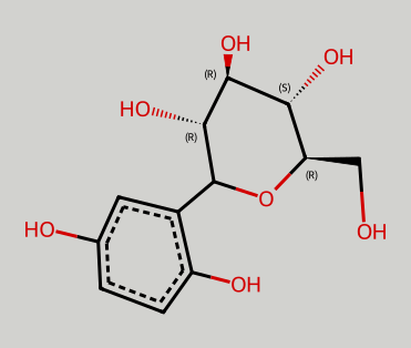 OC[C@H]1OC(c2cc(O)ccc2O)[C@H](O)[C@@H](O)[C@@H]1O